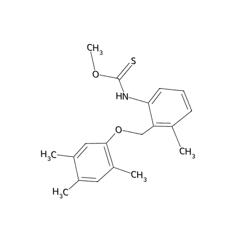 COC(=S)Nc1cccc(C)c1COc1cc(C)c(C)cc1C